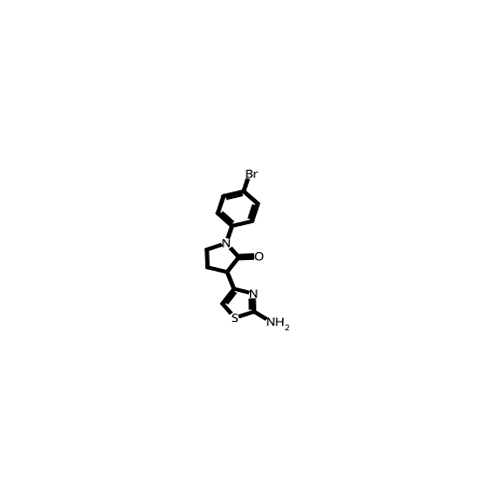 Nc1nc(C2CCN(c3ccc(Br)cc3)C2=O)cs1